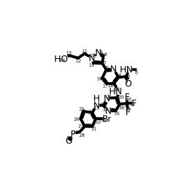 CNC(=O)c1nc(-c2cnn(CCCO)c2)ccc1Nc1nc(Nc2ccc(CP=O)cc2Br)ncc1C(F)(F)F